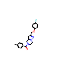 Cc1ccc(C(=O)N2CCn3nc(COc4ccc(F)cc4)cc3C2)cc1